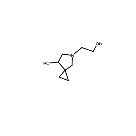 OCCN1CC(O)C2(CC2)C1